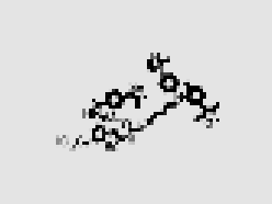 Cc1ccc(-c2c(C)noc2C)cc1N(CCCCCOCC(=O)N[C@H](C(=O)N1C[C@@H](CC(=O)O)C[C@H]1C(=O)N[C@@H](C)c1ccc(-c2scnc2C)cc1)C(C)(C)C)c1ccc(-n2ccnc2C)cc1